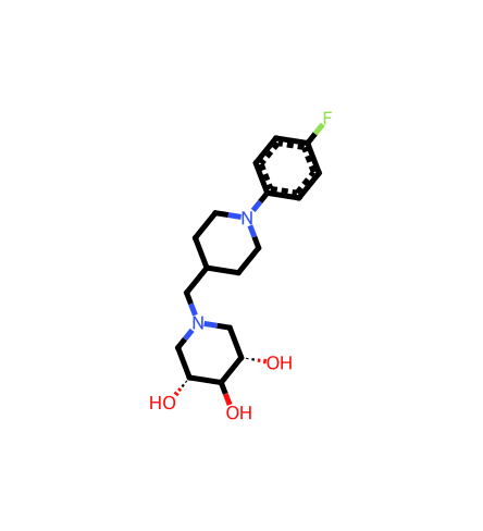 OC1[C@H](O)CN(CC2CCN(c3ccc(F)cc3)CC2)C[C@@H]1O